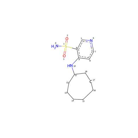 NS(=O)(=O)c1cnccc1NC1CCCCCCC1